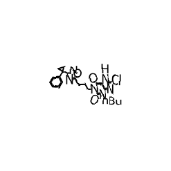 CCCCn1c(=O)n(CCCc2nc(C3(c4ccccc4)CC3)no2)c(=O)c2[nH]c(Cl)nc21